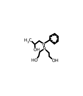 CC(O)CN(c1ccccc1)N(CCO)CCO